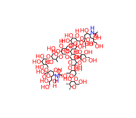 CC(=O)N[C@H]1C([C@H](O)[C@H](O)CO)O[C@@](OCC2O[C@@H](O[C@H]3C(O)C(C)[C@H](OC4[C@@H](OCC5O[C@@H](O[C@@H]6C(CO)O[C@@H](O[C@@H]7C(CO)O[C@@H](C)[C@@H](C)C7O)[C@@H](C)C6O)[C@H](O)C(O[C@H]6O[C@H](CO)[C@@H](O)C(O)C6O[C@@H]6OC(CO)[C@@H](O[C@@H]7OC(CO[C@]8(C(=O)O)C[C@@H](O)[C@@H](NC(C)=O)C([C@H](O)[C@H](O)CO)O8)[C@H](O)[C@H](O)C7O)C(O)[C@@H]6C)[C@@H]5O)OC(CO)[C@@H](O)[C@@H]4O)O[C@H]3CO)[C@@H](O)C(O)[C@H]2O)(C(=O)O)C[C@H]1O